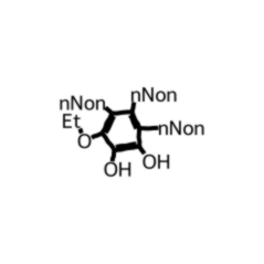 CCCCCCCCCc1c(O)c(O)c(OCC)c(CCCCCCCCC)c1CCCCCCCCC